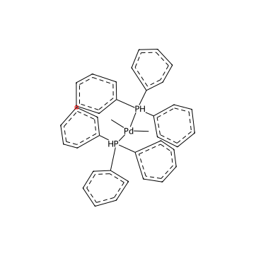 [CH3][Pd]([CH3])([PH](c1ccccc1)(c1ccccc1)c1ccccc1)[PH](c1ccccc1)(c1ccccc1)c1ccccc1